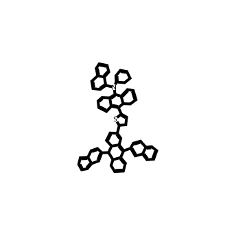 C1=CCCC(N(C2=c3ccccc3=C(C3=CCC(C4=CC5=C(c6ccc7ccccc7c6)C6=CC=CCC6C(c6ccc7ccccc7c6)C5C=C4)S3)C3CC=CC=C23)c2cccc3ccccc23)=C1